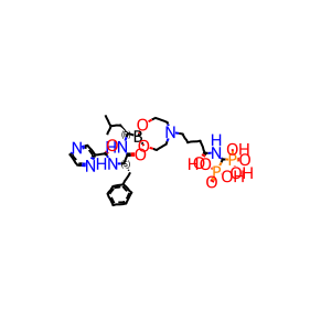 CC(C)C[C@H](NC(=O)[C@H](Cc1ccccc1)NC(=O)c1cnccn1)B1OCCN(CCCC(=O)NC(P(=O)(O)O)P(=O)(O)O)CCO1